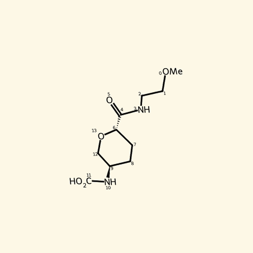 COCCNC(=O)[C@@H]1CC[C@@H](NC(=O)O)CO1